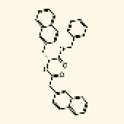 O=C(Cc1ccc2ccccc2c1)O[C@H](Cc1ccc2ccccc2c1)C(=O)OCc1ccccc1